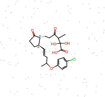 CC(C/C=C/[C@H]1CCC(=O)[C@@H]1CCC(=O)C(C)C(O)(O)C(=O)O)Oc1ccc(Cl)cc1